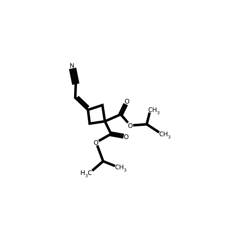 CC(C)OC(=O)C1(C(=O)OC(C)C)CC(=CC#N)C1